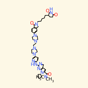 CN(C)C(=O)c1cc2cnc(Nc3ccc(N4CCN(CCN5CCN(c6ccc7c(c6)CN(CCCCCC6CCC(=O)NC6=O)C7=O)CC5)CC4)cn3)nc2n1C1CCCC1